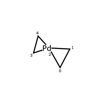 [CH2]1[CH2][Pd]12[CH2][CH2]2